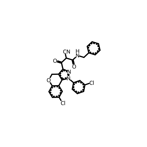 N#CC(C(=O)NCc1ccccc1)C(=O)c1nn(-c2cccc(Cl)c2)c2c1COc1ccc(Cl)cc1-2